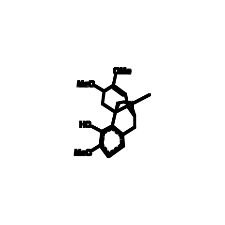 COC1=CC2C3Cc4ccc(OC)c(O)c4[C@]2(CCN3C)CC1OC